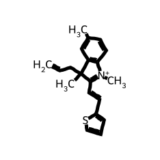 C=CCC1(C)C(/C=C/c2cccs2)=[N+](C)c2ccc(C)cc21